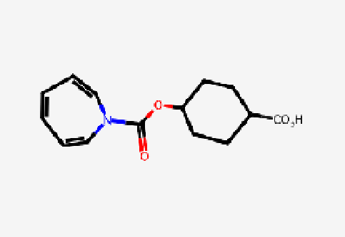 O=C(O)C1CCC(OC(=O)N2C=CC=CC=C2)CC1